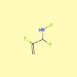 C=C(F)C(F)NF